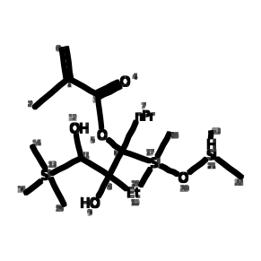 C=C(C)C(=O)OC(CCC)(C(O)(CC)C(O)[Si](C)(C)C)[Si](C)(C)O[SiH](C)C